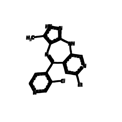 CCc1cc2c(cn1)Nc1n[nH]c(C)c1N=C2c1ccncc1Cl